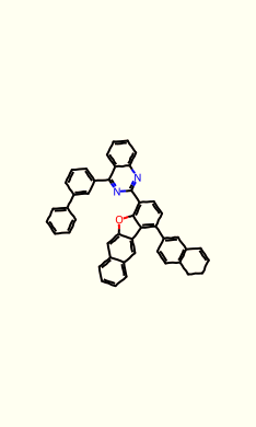 C1=Cc2cc(-c3ccc(-c4nc(-c5cccc(-c6ccccc6)c5)c5ccccc5n4)c4oc5cc6ccccc6cc5c34)ccc2CC1